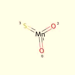 [O]=[Mn](=[O])=[S]